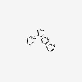 Oc1ccccc1.c1ccncc1.c1ccncc1.c1ccncc1